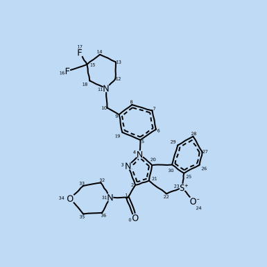 O=C(c1nn(-c2cccc(CN3CCCC(F)(F)C3)c2)c2c1C[S+]([O-])c1ccccc1-2)N1CCOCC1